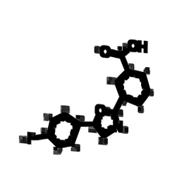 O=C(O)c1cccc(-c2ncc(-c3ccc(F)cc3)o2)c1